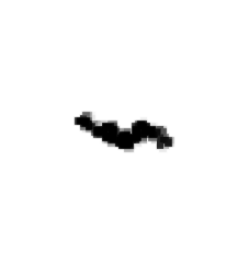 c1cc(CCOC2CO2)cc(Cc2ccc(Cc3cccc(COCC4CO4)c3)cc2)c1